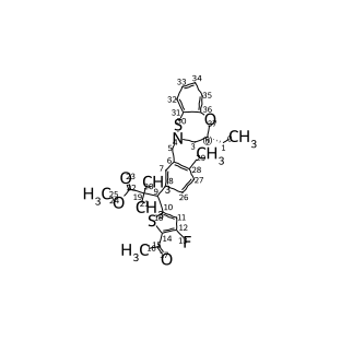 CC[C@@H]1CN(Cc2cc(C(c3cc(F)c(C(C)=O)s3)C(C)(C)C(=O)OC)ccc2C)Sc2ccccc2O1